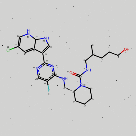 CC(CCCO)CNC(=O)N1CCCC[C@@H]1CNc1nc(C2=CNC3NC=C(Cl)C=C23)ncc1F